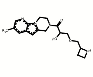 O=C(C(O)COCC1CCN1)N1CCn2c(cc3cc(C(F)(F)F)cnc32)C1